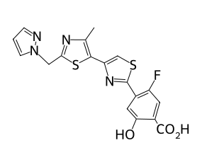 Cc1nc(Cn2cccn2)sc1-c1csc(-c2cc(O)c(C(=O)O)cc2F)n1